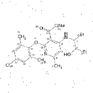 CCC(O)C(CC)Nc1cc(C)nc(Oc2c(C)cc(Cl)cc2C)c1C(=O)OC